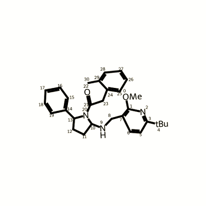 COc1nc(C(C)(C)C)ccc1CNC1CCC(c2ccccc2)N1C(=O)Cc1ccccc1C